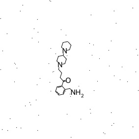 NCc1ccccc1C(=O)CCCN1CCC(N2CCCCC2)CC1